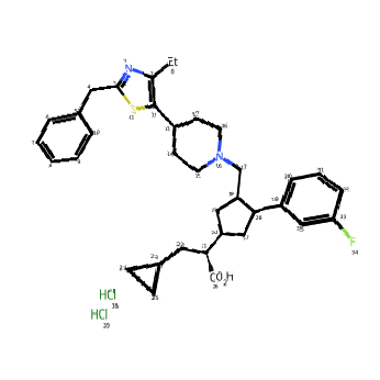 CCc1nc(Cc2ccccc2)sc1C1CCN(CC2CC([C@H](CC3CC3)C(=O)O)CC2c2cccc(F)c2)CC1.Cl.Cl